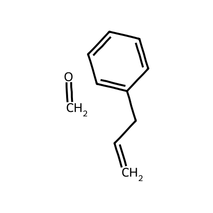 C=CCc1ccccc1.C=O